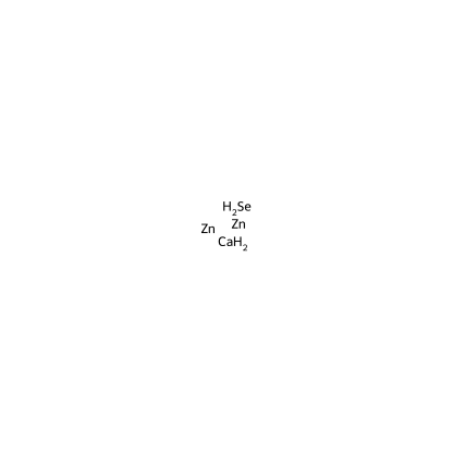 [CaH2].[SeH2].[Zn].[Zn]